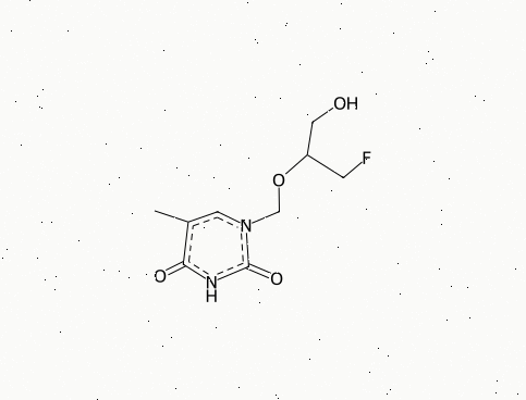 Cc1cn(COC(CO)CF)c(=O)[nH]c1=O